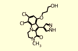 CN1CCn2c(c(-c3cn[nH]c3)c3c(OCCCO)cc(Cl)c(Cl)c32)C1=O